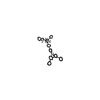 c1ccc(-c2ccc3c(c2)c2cc(-c4ccccc4)ccc2n3-c2ccc(-c3ccc(-c4nc(-c5ccccc5)nc(-c5cc6ccccc6s5)n4)cc3)cc2)cc1